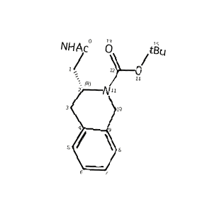 CC(=O)NC[C@H]1Cc2ccccc2CN1C(=O)OC(C)(C)C